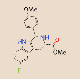 COC(=O)C1Cc2c([nH]c3ccc(F)cc23)C(c2ccc(OC)cc2)N1